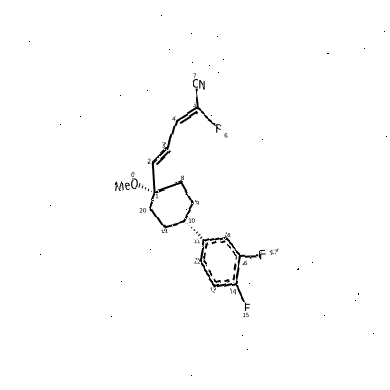 CO[C@]1(C=CC=C(F)C#N)CC[C@H](c2ccc(F)c(F)c2)CC1